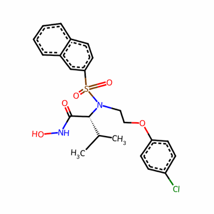 CC(C)[C@H](C(=O)NO)N(CCOc1ccc(Cl)cc1)S(=O)(=O)c1ccc2ccccc2c1